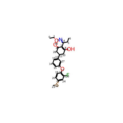 CCO/N=C(/CC)C1=C(O)CC(c2cccc(Oc3ccc(SC)cc3F)c2)CC1=O